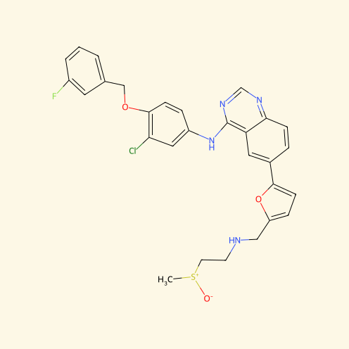 C[S+]([O-])CCNCc1ccc(-c2ccc3ncnc(Nc4ccc(OCc5cccc(F)c5)c(Cl)c4)c3c2)o1